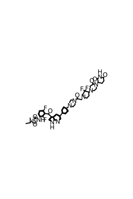 CCN(C)S(=O)(=O)Nc1ccc(F)c(C(=O)c2c[nH]c3ncc(-c4ccc(N5CCN(C(=O)CN6CCC(N7CCN(C8CCC(=O)NC8=O)C(=O)C7)C(F)(F)C6)CC5)cc4)cc23)c1F